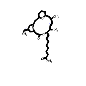 C/C=C1\CC2CC(=O)OC(/C=C/CCCCCC(N)=O)C(C)/C=C/C(C)CC3CCCC(CC(C1)O2)O3